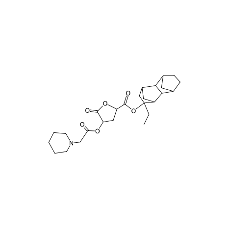 CCC1(OC(=O)C2CC(OC(=O)CN3CCCCC3)C(=O)O2)CC2CC1C1C3CCC(C3)C21